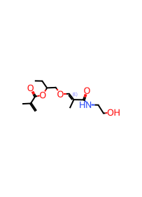 C=C(C)C(=O)OC(CC)CO/C=C(\C)C(=O)NCCO